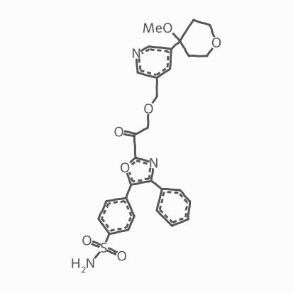 COC1(c2cncc(COCC(=O)c3nc(-c4ccccc4)c(-c4ccc(S(N)(=O)=O)cc4)o3)c2)CCOCC1